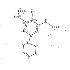 O=C(O)Nc1cc(N2CC=CCC2)nc(NC(=O)O)[n+]1[O-]